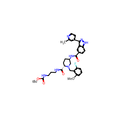 COc1cccc(F)c1CN1C[C@H](NC(=O)c2ccc3[nH]nc(-c4ccnc(C)c4)c3c2)CC[C@H]1C(=O)NCCCNC(=O)OC(C)(C)C